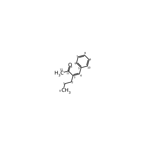 CCCC(=Cc1ccccc1)C(C)=O